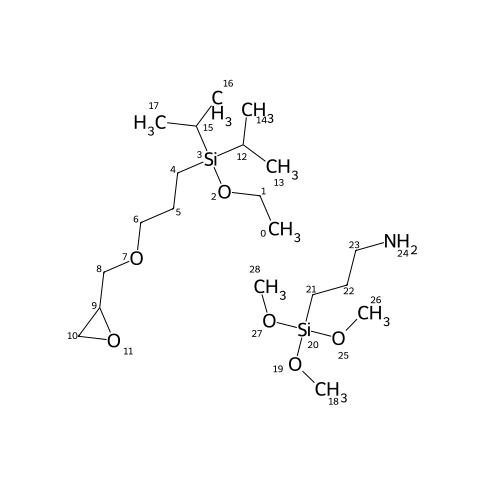 CCO[Si](CCCOCC1CO1)(C(C)C)C(C)C.CO[Si](CCCN)(OC)OC